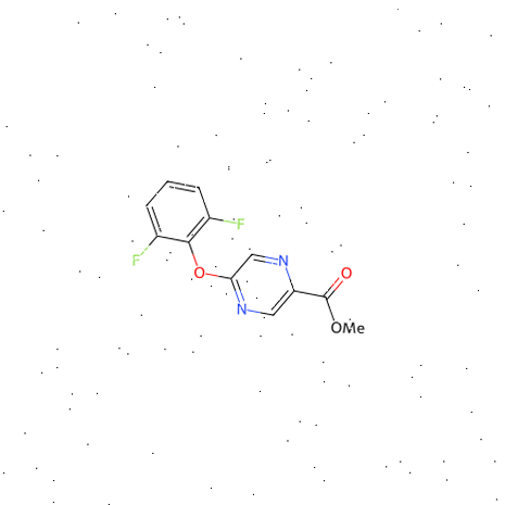 COC(=O)c1cnc(Oc2c(F)cccc2F)cn1